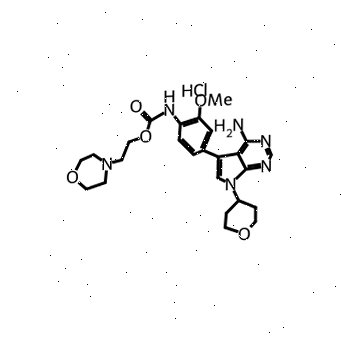 COc1cc(-c2cn(C3CCOCC3)c3ncnc(N)c23)ccc1NC(=O)OCCN1CCOCC1.Cl